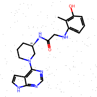 Cc1c(O)cccc1NCC(=O)N[C@@H]1CCCN(c2ncnc3[nH]ccc23)C1